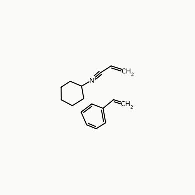 C=CC#[N+]C1CCCCC1.C=Cc1ccccc1